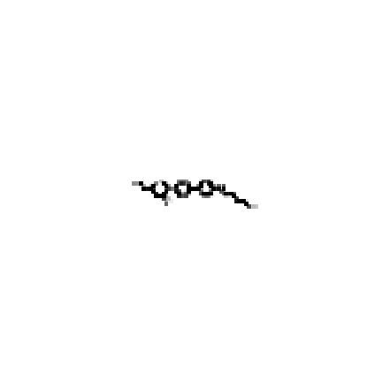 CCCCCCOc1ccc(-c2ccc([C@H]3CC[C@H](CCC)CC3=O)cc2)cc1